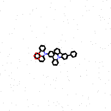 c1ccc(-c2ccc3c(c2)c2ccccc2n3-c2ccccc2-c2cccc(N(c3ccccc3-c3ccccc3)c3cccc4ccccc34)c2)cc1